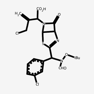 C=C(CCl)C(C(=O)O)N1C(=O)C2N=C(C(c3cccc(Cl)c3)N(C=O)OC(C)(C)C)SC21